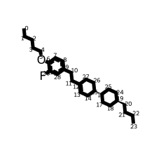 CCCCCOc1ccc(CCC2=CCC([C@H]3CC[C@H](CCCC)CC3)CC2)cc1F